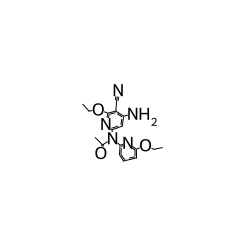 CCOc1cccc(N(C(C)=O)c2cc(N)c(C#N)c(OCC)n2)n1